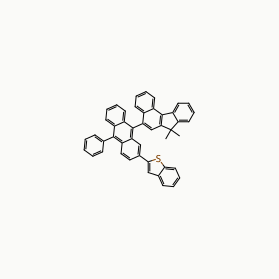 CC1(C)c2ccccc2-c2c1cc(-c1c3ccccc3c(-c3ccccc3)c3ccc(-c4cc5ccccc5s4)cc13)c1ccccc21